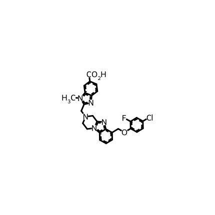 Cn1c(CN2CCn3c(nc4c(COc5ccc(Cl)cc5F)cccc43)C2)nc2ccc(C(=O)O)cc21